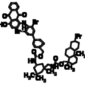 CC(C)C1CCC2C(CCC3C(C)(COC(=O)NCC4(C)CC(NC(=O)OCc5ccc(-c6cc(Br)c(Nc7ccc(O)c8c7C(=O)c7ccccc7C8=O)c(Br)c6)cc5)CC(C)(C)C4)CCCC23C)C1